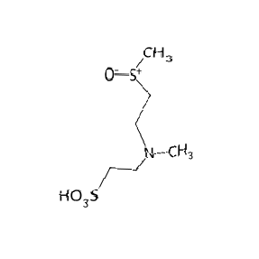 CN(CC[S+](C)[O-])CCS(=O)(=O)O